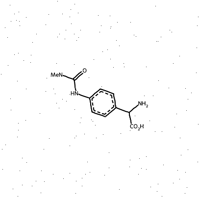 CNC(=O)Nc1ccc(C(N)C(=O)O)cc1